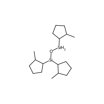 CC1CCCC1[SiH2]O[Si](C1CCCC1C)C1CCCC1C